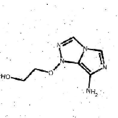 Nc1ncn2cnn(OCCO)c12